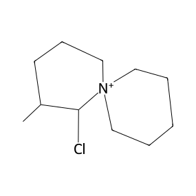 CC1CCC[N+]2(CCCCC2)C1Cl